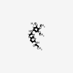 CCC(=O)Nc1ccc2ncc(Nc3cc(OC)c(OC)c(OC)c3)nc2n1